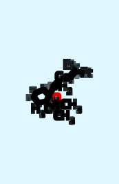 CCC(=[CH][GeH2][C]#CC1(O[Si](C)(C)C)CCCCC1)CC